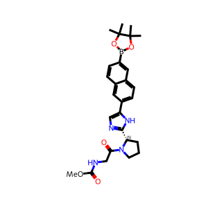 COC(=O)NCC(=O)N1CCC[C@H]1c1ncc(-c2ccc3cc(B4OC(C)(C)C(C)(C)O4)ccc3c2)[nH]1